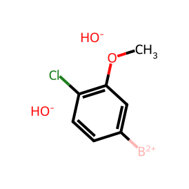 [B+2]c1ccc(Cl)c(OC)c1.[OH-].[OH-]